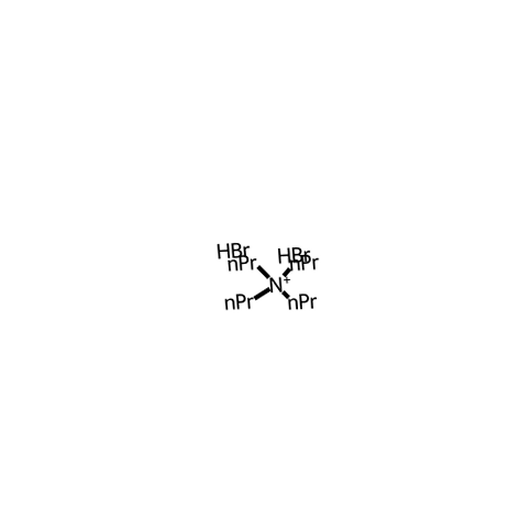 Br.Br.CCC[N+](CCC)(CCC)CCC